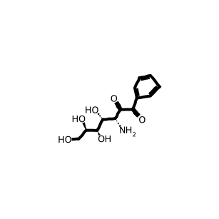 N[C@@H](C(=O)C(=O)c1ccccc1)[C@@H](O)[C@H](O)[C@H](O)CO